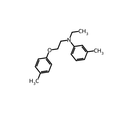 CCN(CCOc1ccc(C)cc1)c1cccc(C)c1